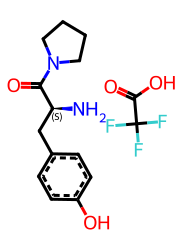 N[C@@H](Cc1ccc(O)cc1)C(=O)N1CCCC1.O=C(O)C(F)(F)F